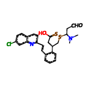 CN(C)C(CC=O)SCC(CC(O)=S)c1ccccc1C=Cc1ccc2ccc(Cl)cc2n1